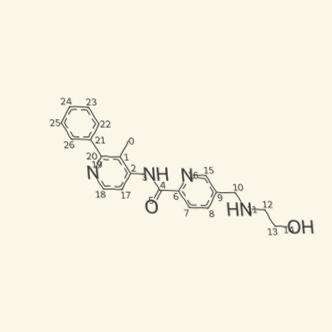 Cc1c(NC(=O)c2ccc(CNCCO)cn2)ccnc1-c1ccccc1